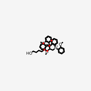 COc1ccccc1P(CC(CCCCCCO)C(P)(c1ccccc1OC)c1ccccc1OC)c1ccccc1OC